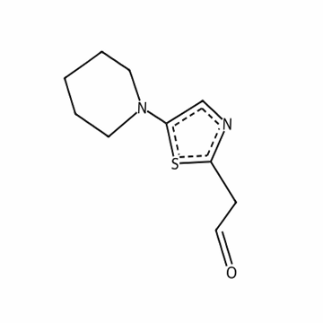 O=CCc1ncc(N2CCCCC2)s1